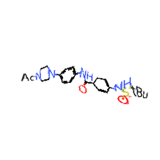 CC(=O)N1CCN(c2ccc(NC(=O)C3C=CC(N[S+]([O-])C(C)(C)C)=CC3)cc2)CC1